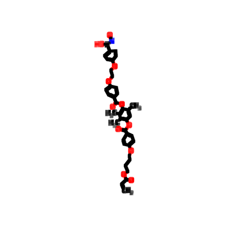 C=CC(=O)OCCCCOc1ccc(C(=O)Oc2cc(C)c(OC(=O)c3ccc(OCCOc4ccc(B(O)N=O)cc4)cc3)c(C)c2C)cc1